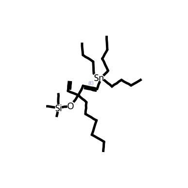 C=CC(/C=[CH]/[Sn]([CH2]CCC)([CH2]CCC)[CH2]CCC)(CCCCCC)O[Si](C)(C)C